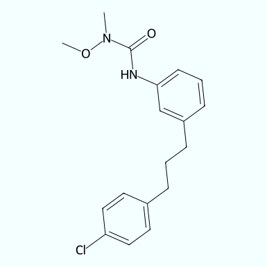 CON(C)C(=O)Nc1cccc(CCCc2ccc(Cl)cc2)c1